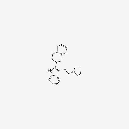 c1ccc2cc(-c3[nH]c4ccccc4c3CCN3CCCC3)ccc2c1